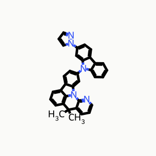 CC1(C)c2cccnc2-n2c3cc(-n4c5ccccc5c5ccc(-n6cccn6)cc54)ccc3c3cccc1c32